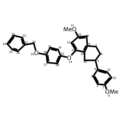 COc1ccc(C2CCc3cc(OC)cc(Oc4ccc(OCc5ccccc5)cc4)c3C2)cc1